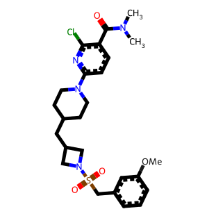 COc1cccc(CS(=O)(=O)N2CC(CC3CCN(c4ccc(C(=O)N(C)C)c(Cl)n4)CC3)C2)c1